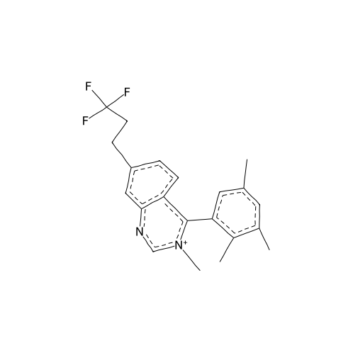 Cc1cc(C)c(C)c(-c2c3ccc(CCC(F)(F)F)cc3nc[n+]2C)c1